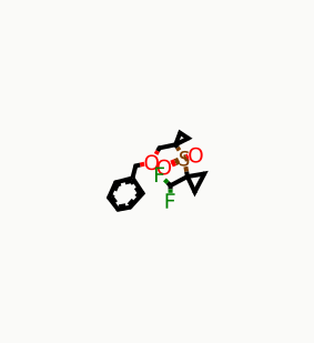 O=S(=O)(C1(COCc2ccccc2)CC1)C1(C(F)F)CC1